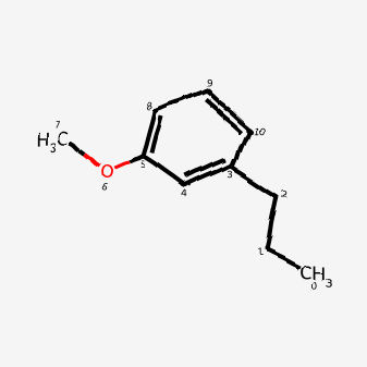 CCCc1[c]c(OC)ccc1